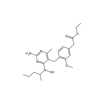 CCCC(C)N(O)c1nc(N)nc(C)c1Cc1ccc(CC(=O)OCC)cc1OC